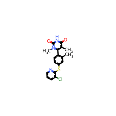 Cc1cc(Sc2ncccc2Cl)ccc1-c1c(C)c(=O)[nH]c(=O)n1C